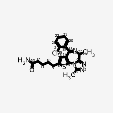 Cc1nnc2n1-c1sc(CCCCC(N)=O)cc1C(c1ccccc1Cl)=NC2C